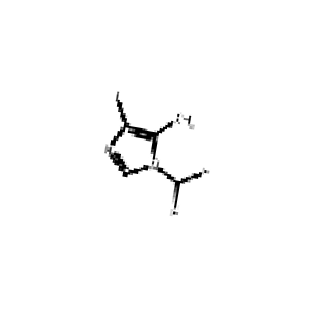 Cc1c(I)ncn1C(F)F